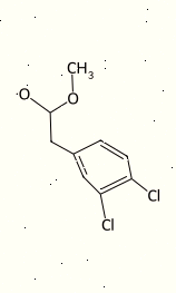 COC([O])Cc1ccc(Cl)c(Cl)c1